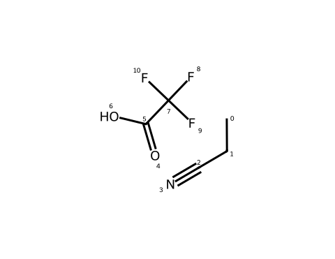 CCC#N.O=C(O)C(F)(F)F